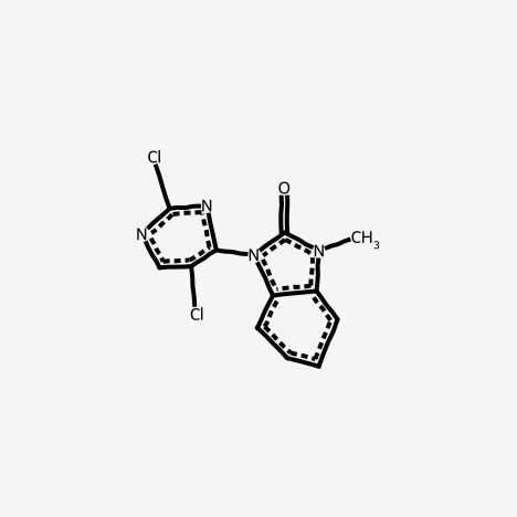 Cn1c(=O)n(-c2nc(Cl)ncc2Cl)c2ccccc21